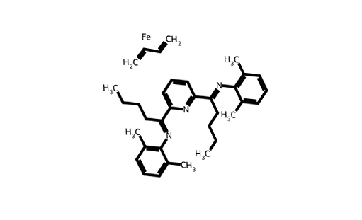 C=CC=C.CCCCC(=Nc1c(C)cccc1C)c1cccc(C(CCCC)=Nc2c(C)cccc2C)n1.[Fe]